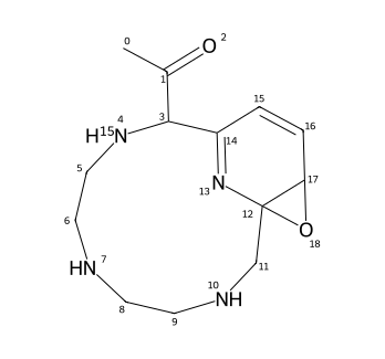 CC(=O)C1[15NH]CCNCCNCC23N=C1C=CC2O3